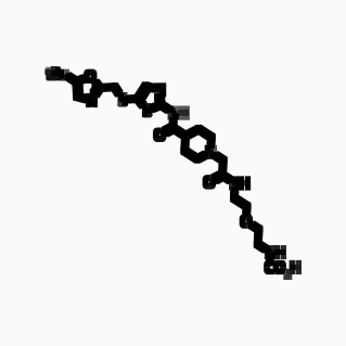 CC(C)(C)c1cnc(CSc2cnc(NC(=O)C3CCN(CC(=O)NCCOCCNC(=O)O)CC3)s2)o1